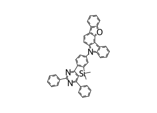 C[Si]1(C)c2cc(-n3c4ccccc4c4c5oc6ccccc6c5ccc43)ccc2-c2nc(-c3ccccc3)nc(-c3ccccc3)c21